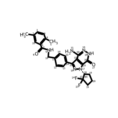 Cc1ccc(C)c(C(=O)NCc2ccc(-c3nn([C@@H]4CCCC4(F)F)c4c(=O)[nH]nc(N)c34)cc2)c1